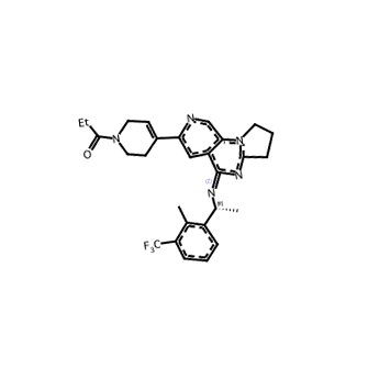 CCC(=O)N1CC=C(c2cc3/c(=N/[C@H](C)c4cccc(C(F)(F)F)c4C)nc4n(c3cn2)CCC4)CC1